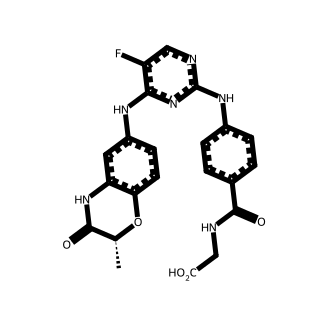 C[C@H]1Oc2ccc(Nc3nc(Nc4ccc(C(=O)NCC(=O)O)cc4)ncc3F)cc2NC1=O